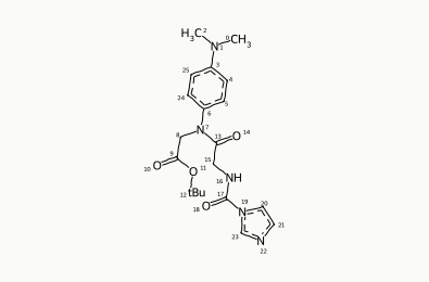 CN(C)c1ccc(N(CC(=O)OC(C)(C)C)C(=O)CNC(=O)n2ccnc2)cc1